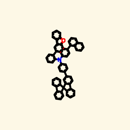 c1ccc(N(c2ccc(-c3ccc4c(c3)C3(c5ccccc5-c5ccccc53)c3ccccc3-4)cc2)c2ccc(-c3cccc4ccccc34)cc2)c(-c2ccc3oc4ccccc4c3c2)c1